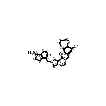 CC(C)CN(Cc1cc(Cl)c2c(c1)OCCCO2)C(=O)C1CCN(Cc2cccc3c2CCN3C)C1